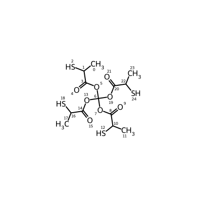 CC(S)C(=O)OC(OC(=O)C(C)S)(OC(=O)C(C)S)OC(=O)C(C)S